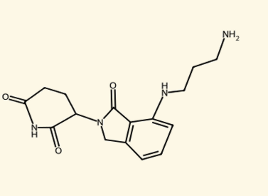 NCCCNc1cccc2c1C(=O)N(C1CCC(=O)NC1=O)C2